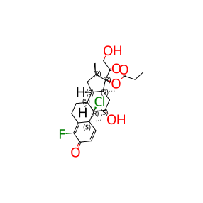 CCC(=O)O[C@]1(C(=O)CO)[C@H](C)C[C@H]2[C@@H]3CCC4=C(F)C(=O)C=C[C@]4(C)[C@@]3(Cl)[C@@H](O)C[C@@]21C